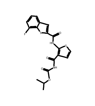 CC(C)OC(=O)NC(=O)c1ccsc1NC(=O)c1cc2cccc(F)c2s1